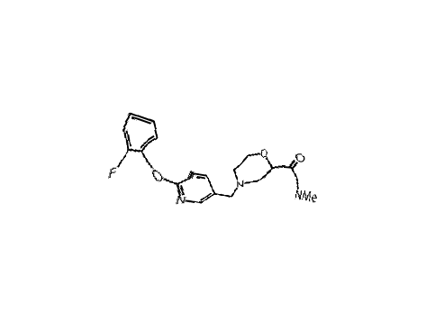 CNC(=O)C1CN(Cc2ccc(Oc3ccccc3F)nc2)CCO1